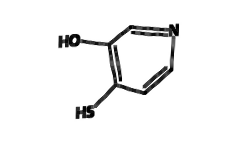 Oc1cnccc1S